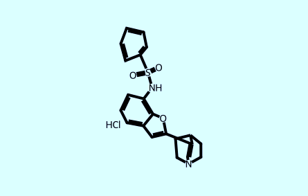 Cl.O=S(=O)(Nc1cccc2cc(C3=CN4CCC3CC4)oc12)c1ccccc1